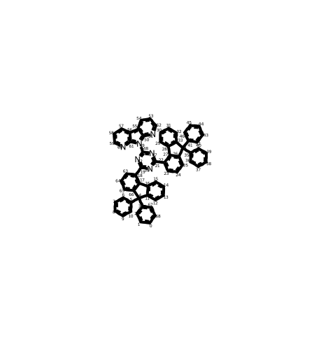 c1ccc(C2(c3ccccc3)c3ccccc3-c3c(-c4nc(-c5cccc6c5-c5ccccc5C6(c5ccccc5)c5ccccc5)nc(-n5c6ncccc6c6cccnc65)n4)cccc32)cc1